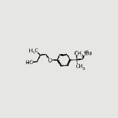 CC(CO)COc1ccc(C(C)(C)CC(C)(C)C)cc1